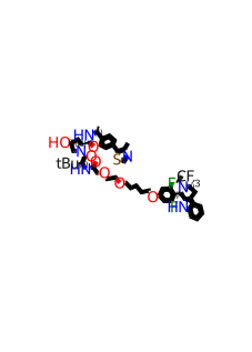 Cc1ncsc1-c1ccc([C@H](C)NC(=O)[C@@H]2C[C@@H](O)CN2C(=O)[C@@H](NC(=O)COCCOCCCCCOc2cc(F)c([C@@H]3c4[nH]c5ccccc5c4C[C@@H](C)N3CC(F)(F)F)c(F)c2)C(C)(C)C)cc1